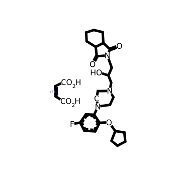 O=C(O)/C=C\C(=O)O.O=C1C2CCCCC2C(=O)N1CC(O)CN1CCN(c2cc(F)ccc2OC2CCCC2)CC1